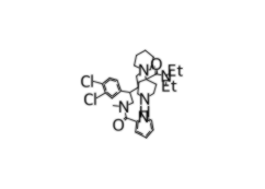 CCN(CC)C(=O)C1([N+]2(CCC(CN(C)C(=O)c3ccccn3)c3ccc(Cl)c(Cl)c3)CCCCC2)CCNCC1